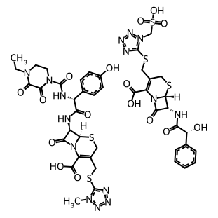 CCN1CCN(C(=O)N[C@@H](C(=O)N[C@@H]2C(=O)N3C(C(=O)O)=C(CSc4nnnn4C)CS[C@H]23)c2ccc(O)cc2)C(=O)C1=O.O=C(O)C1=C(CSc2nnnn2CS(=O)(=O)O)CS[C@@H]2[C@H](NC(=O)[C@H](O)c3ccccc3)C(=O)N12